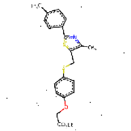 CCOC(=O)COc1ccc(SCc2sc(-c3ccc(C)cc3)nc2C)cc1